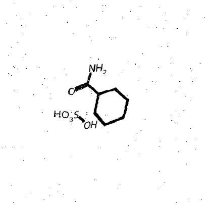 NC(=O)C1CCCCC1.O=S(=O)(O)O